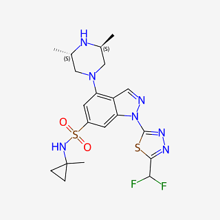 C[C@H]1CN(c2cc(S(=O)(=O)NC3(C)CC3)cc3c2cnn3-c2nnc(C(F)F)s2)C[C@H](C)N1